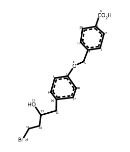 O=C(O)c1ccc(COc2ccc(CC(O)CCBr)cc2)cc1